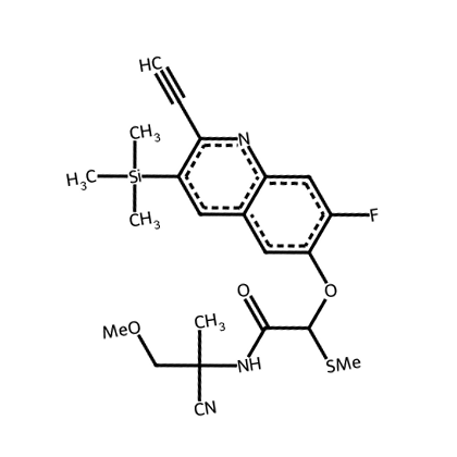 C#Cc1nc2cc(F)c(OC(SC)C(=O)NC(C)(C#N)COC)cc2cc1[Si](C)(C)C